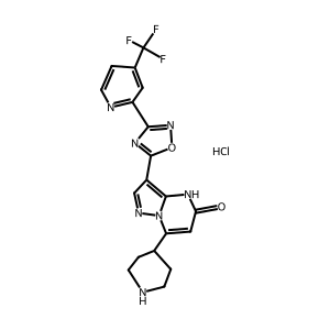 Cl.O=c1cc(C2CCNCC2)n2ncc(-c3nc(-c4cc(C(F)(F)F)ccn4)no3)c2[nH]1